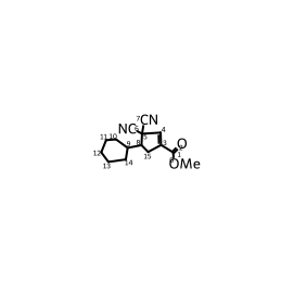 COC(=O)C1=CC(C#N)(C#N)C(C2CCCCC2)C1